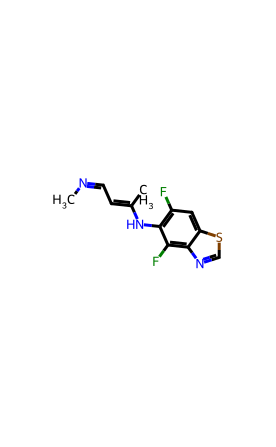 C/N=C\C=C(/C)Nc1c(F)cc2scnc2c1F